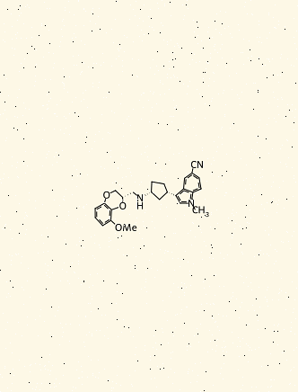 COc1cccc2c1O[C@@H](CN[C@@H]1CC[C@H](c3cn(C)c4ccc(C#N)cc34)C1)CO2